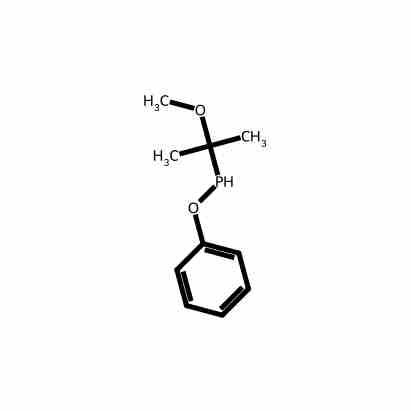 COC(C)(C)POc1ccccc1